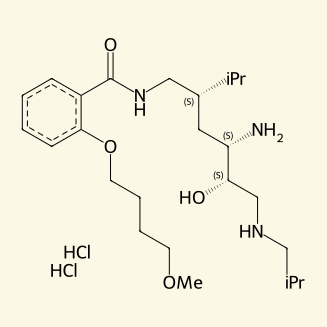 COCCCCOc1ccccc1C(=O)NC[C@@H](C[C@H](N)[C@@H](O)CNCC(C)C)C(C)C.Cl.Cl